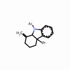 C=C1CCCC2(C(C)C)c3ccccc3N(C(C)=O)C12